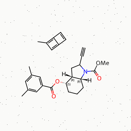 C#CC1C[C@H]2[C@@H](OC(=O)c3cc(C)cc(C)c3)CCC[C@H]2N1C(=O)OC.Cc1cc2ccc1-2